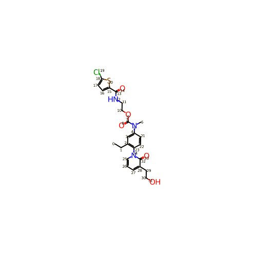 CCc1cc(N(C)C(=O)OCCNC(=O)c2ccc(Cl)s2)ccc1-n1cccc(CCO)c1=O